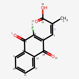 C/C(=C/C1=C(F)C(=O)c2ccccc2C1=O)C(=O)O